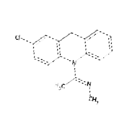 CN=C(C)N1c2ccccc2Cc2cc(Cl)ccc21